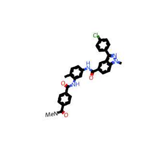 CNC(=O)c1ccc(C(=O)Nc2cc(NC(=O)c3ccc4c(c3)c(-c3ccc(Cl)cc3)nn4C)ccc2C)cc1